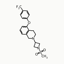 CS(=O)(=O)N1CC(N2CCc3c(cccc3Oc3ccc(C(F)(F)F)cc3)C2)C1